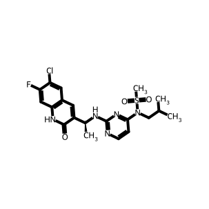 CC(C)CN(c1ccnc(N[C@@H](C)c2cc3cc(Cl)c(F)cc3[nH]c2=O)n1)S(C)(=O)=O